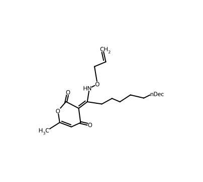 C=CCONC(CCCCCCCCCCCCCCC)=C1C(=O)C=C(C)OC1=O